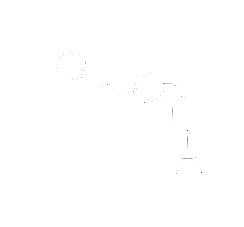 O=C(Nc1c[nH]c2ccc(CCOc3ccc(C(F)(F)F)cc3)cc12)C1C2COCC21